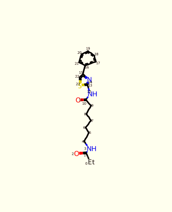 CCC(=O)NCCCCCCC(=O)Nc1nc(-c2ccccc2)cs1